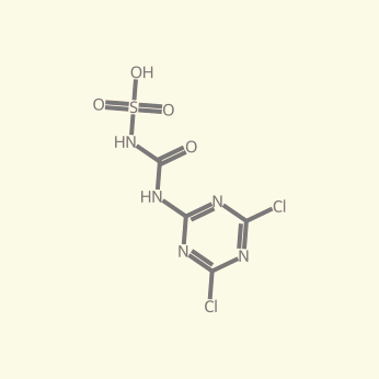 O=C(Nc1nc(Cl)nc(Cl)n1)NS(=O)(=O)O